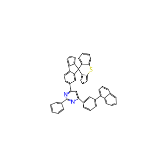 c1ccc(-c2nc(-c3cccc(-c4cccc5ccccc45)c3)cc(-c3ccc4c(c3)C3(c5ccccc5Sc5ccccc53)c3ccccc3-4)n2)cc1